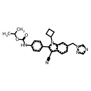 CC(C)OC(=O)Nc1ccc(-c2c(C#N)c3ccc(Cn4cncn4)cc3n2C2CCC2)cc1